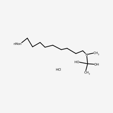 CCCCCCCCCCCCCCCCCCN(C)C(C)(O)O.Cl